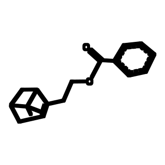 CC1(C)C2CC=C(CCOC(=O)c3ccccc3)C1C2